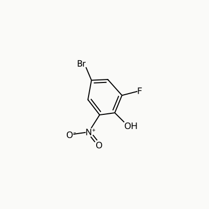 O=[N+]([O-])c1cc(Br)cc(F)c1O